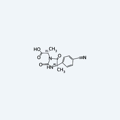 C[C@@H](C(=O)O)N1C(=O)N[C@](C)(c2ccc(C#N)cc2)C1=O